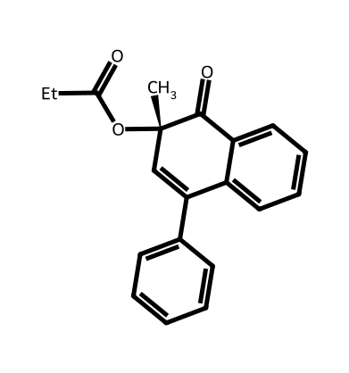 CCC(=O)O[C@@]1(C)C=C(c2ccccc2)c2ccccc2C1=O